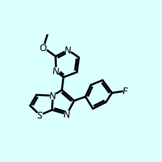 COc1nccc(-c2c(-c3ccc(F)cc3)nc3sccn23)n1